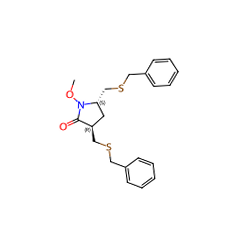 CON1C(=O)[C@H](CSCc2ccccc2)C[C@H]1CSCc1ccccc1